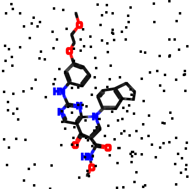 COCCOc1cccc(Nc2ncc3c(=O)c(C(=O)NOC)cn(-c4ccc5c(c4)CCC5)c3n2)c1